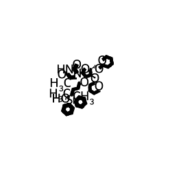 Cc1cn([C@@H]2O[C@H](COC3CCCCO3)[C@@H](OC3CCCCO3)C2OCCCC(C)(C)[Si](O)(c2ccccc2)c2ccccc2)c(=O)[nH]c1=O